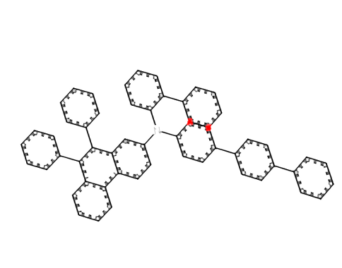 c1ccc(-c2ccc(-c3ccc(N(c4ccc5c(c4)c(-c4ccccc4)c(-c4ccccc4)c4ccccc45)c4ccccc4-c4ccccc4)cc3)cc2)cc1